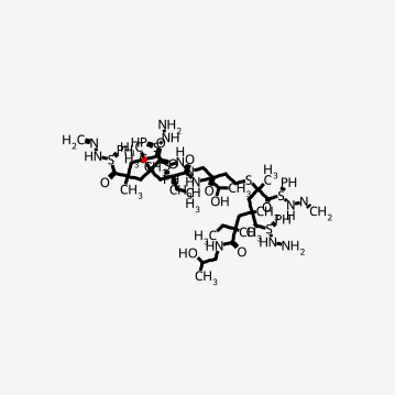 C=NNS(=P)C(=O)C(C)(CC(C)(C)C(=O)S(=P)NNCC(=O)CCSC(C)(CC(C)(CC(C)(CC)C(=O)NCC(C)O)C(=O)S(=P)NN)C(=O)S(=P)NN=C)CC(C)(CC(C)(CC)C(=O)NCC(C)O)C(=O)S(=P)NN